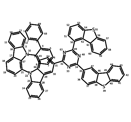 c1ccc(-c2ccccc2-n2c3ccccc3c3cccc(-n4c5ccccc5c5cc(-c6nc(-c7ccc8sc9ccccc9c8c7)nc(-c7cccc8sc9ccccc9c78)n6)ccc54)c32)cc1